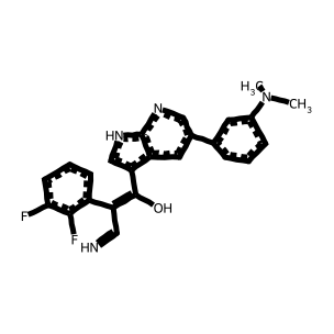 CN(C)c1cccc(-c2cnc3[nH]cc(/C(O)=C(/C=N)c4cccc(F)c4F)c3c2)c1